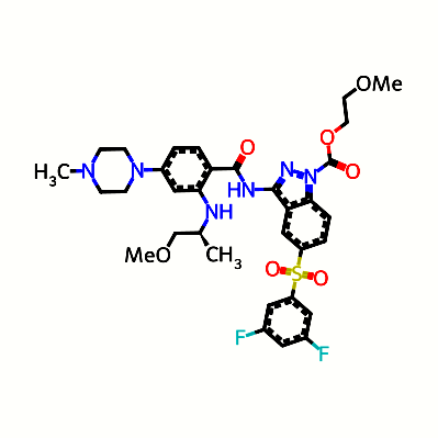 COCCOC(=O)n1nc(NC(=O)c2ccc(N3CCN(C)CC3)cc2N[C@@H](C)COC)c2cc(S(=O)(=O)c3cc(F)cc(F)c3)ccc21